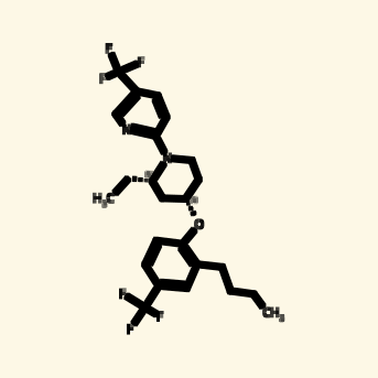 CCCCc1cc(C(F)(F)F)ccc1O[C@H]1CCN(c2ccc(C(F)(F)F)cn2)[C@@H](CC)C1